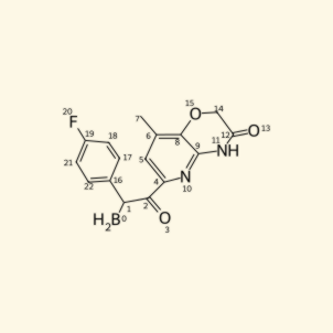 BC(C(=O)c1cc(C)c2c(n1)NC(=O)CO2)c1ccc(F)cc1